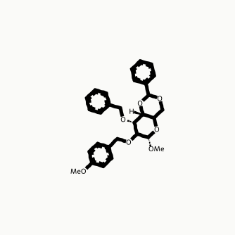 COc1ccc(COC2[C@@H](OC)OC3COC(c4ccccc4)O[C@H]3[C@H]2OCc2ccccc2)cc1